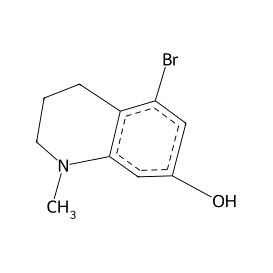 CN1CCCc2c(Br)cc(O)cc21